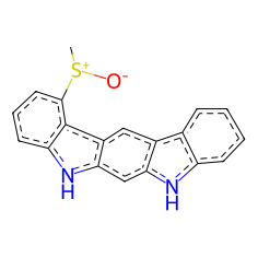 C[S+]([O-])c1cccc2[nH]c3cc4[nH]c5ccccc5c4cc3c12